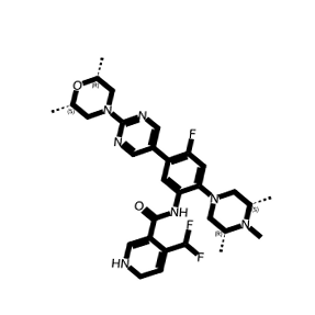 C[C@@H]1CN(c2ncc(-c3cc(NC(=O)C4=CNCC=C4C(F)F)c(N4C[C@@H](C)N(C)[C@@H](C)C4)cc3F)cn2)C[C@H](C)O1